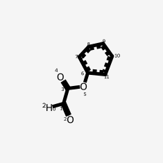 [2H]C(=O)C(=O)Oc1ccccc1